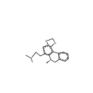 C[C@@H]1Cc2ccccc2-c2c3c(cc(CCN(C)C)c21)OCO3